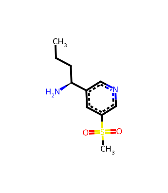 CCC[C@H](N)c1cncc(S(C)(=O)=O)c1